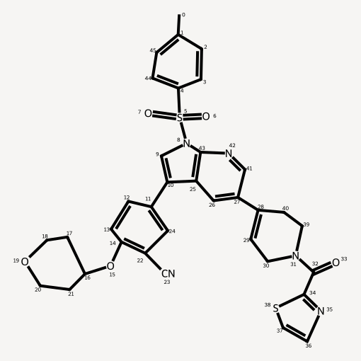 Cc1ccc(S(=O)(=O)n2cc(-c3ccc(OC4CCOCC4)c(C#N)c3)c3cc(C4=CCN(C(=O)c5nccs5)CC4)cnc32)cc1